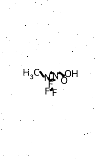 CCCN1C=CN(CC(=O)O)C1.FC(F)F